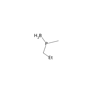 BP(C)CCC